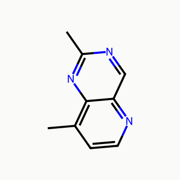 Cc1ncc2nccc(C)c2n1